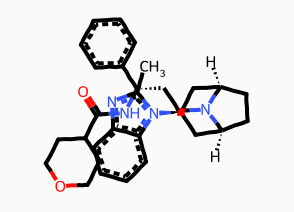 Cc1nc2ccccc2n1[C@H]1C[C@H]2CC[C@@H](C1)N2CC[C@H](NC(=O)C1CCOCC1)c1ccccc1